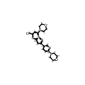 Clc1cc(N2CCOCC2)n2nc(-c3ccc(N4CCOCC4)nc3)cc2n1